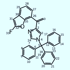 C=C(c1cn(C(c2ccccc2)(c2ccccc2)c2ccccc2)cn1)c1cccc2cc(F)oc12